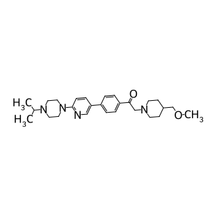 COCC1CCN(CC(=O)c2ccc(-c3ccc(N4CCN(C(C)C)CC4)nc3)cc2)CC1